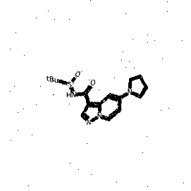 CC(C)(C)[S+]([O-])NC(=O)c1cnn2ccc(N3CCCC3)cc12